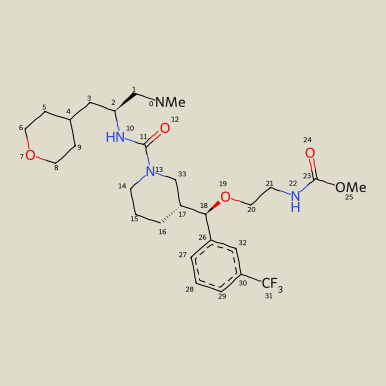 CNC[C@H](CC1CCOCC1)NC(=O)N1CCC[C@@H]([C@@H](OCCNC(=O)OC)c2cccc(C(F)(F)F)c2)C1